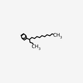 CCCCCCCCCCC(CCC)C1CC2C=CC1C2